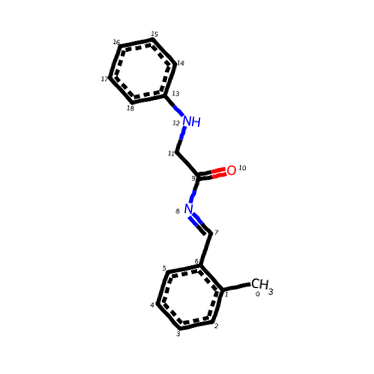 Cc1ccccc1C=NC(=O)CNc1ccccc1